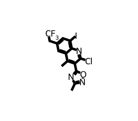 Cc1noc(-c2c(Cl)nc3c(I)cc(CC(F)(F)F)cc3c2C)n1